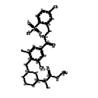 CCS(=O)(=O)c1ccc(Cl)cc1CNC(=O)c1cc(C)c(CN2CCC[C@H](N(C)C(=O)OC(C)(C)C)C2)c(C(F)(F)F)c1